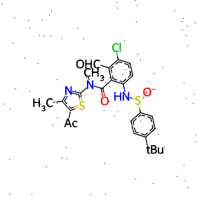 CC(=O)c1sc(N(C)C(=O)c2c(N[S+]([O-])c3ccc(C(C)(C)C)cc3)ccc(Cl)c2C=O)nc1C